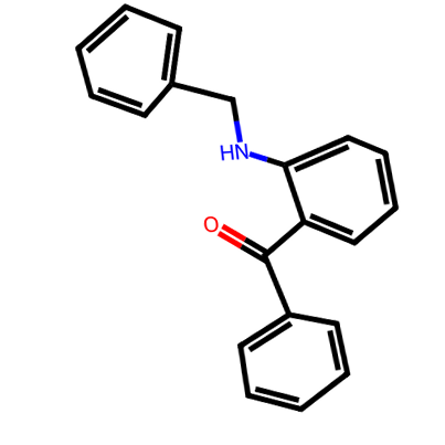 O=C(c1ccccc1)c1ccccc1NCc1ccccc1